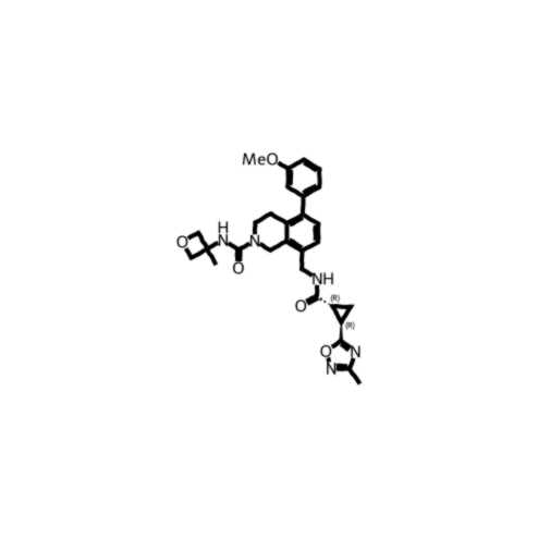 COc1cccc(-c2ccc(CNC(=O)[C@@H]3C[C@H]3c3nc(C)no3)c3c2CCN(C(=O)NC2(C)COC2)C3)c1